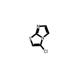 Clc1[c]sc2nccn12